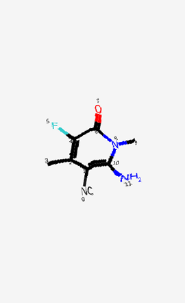 [C-]#[N+]c1c(C)c(F)c(=O)n(C)c1N